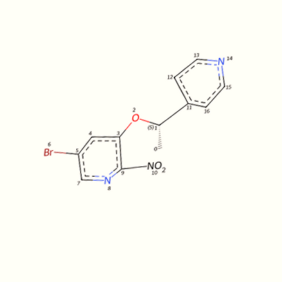 C[C@H](Oc1cc(Br)cnc1[N+](=O)[O-])c1ccncc1